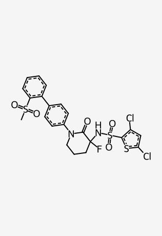 CS(=O)(=O)c1ccccc1-c1ccc(N2CCCC(F)(NS(=O)(=O)c3sc(Cl)cc3Cl)C2=O)cc1